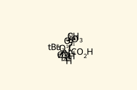 [2H]C([2H])([2H])N(C(=O)OC(C)(C)C)[C@@H](CCS(C)(=O)=O)C(=O)O